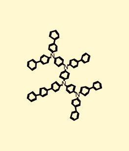 c1ccc(-c2ccc(-c3ccc(N(c4ccc(N(c5ccc(-c6ccccc6)cc5)c5ccc(-c6ccccc6)cc5)cc4)c4ccc(N(c5ccc(-c6ccccc6)cc5)c5ccc(N(c6ccc(-c7ccccc7)cc6)c6ccc(-c7ccccc7)cc6)cc5)cc4)cc3)cc2)cc1